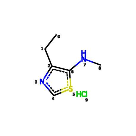 CCc1ncsc1NC.Cl